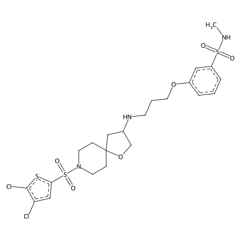 CNS(=O)(=O)c1cccc(OCCCNC2COC3(CCN(S(=O)(=O)c4cc(Cl)c(Cl)s4)CC3)C2)c1